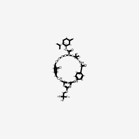 CC1CC[C@@H](C(C)C)[C@H](OC(=O)N2CCCOc3ccc(cc3Cl)CNc3nc(nc(OCC(F)(F)F)n3)Nc3ccc(cc3)C(=O)NCC(C)(C)C2)C1